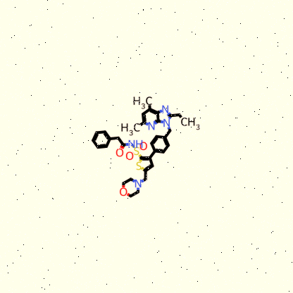 CCc1nc2c(C)cc(C)nc2n1Cc1ccc(-c2cc(CN3CCOCC3)sc2S(=O)(=O)NC(=O)Cc2ccccc2)cc1